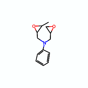 CC1OC1CN(CC1CO1)c1ccccc1